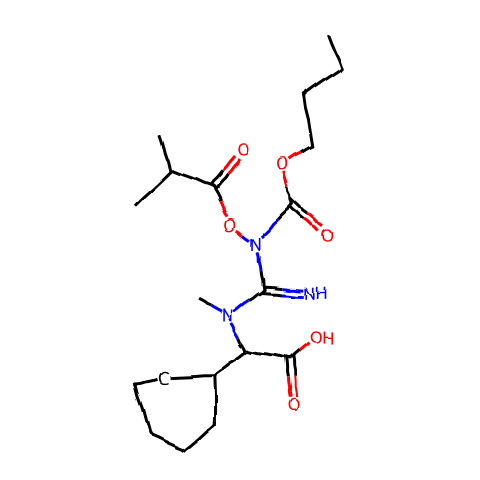 CCCCOC(=O)N(OC(=O)C(C)C)C(=N)N(C)C(C(=O)O)C1CCCCC1